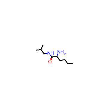 CCCC[C@H](N)C(=O)NCC(C)C